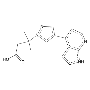 CC(C)(CC(=O)O)n1cc(-c2ccnc3[nH]ccc23)cn1